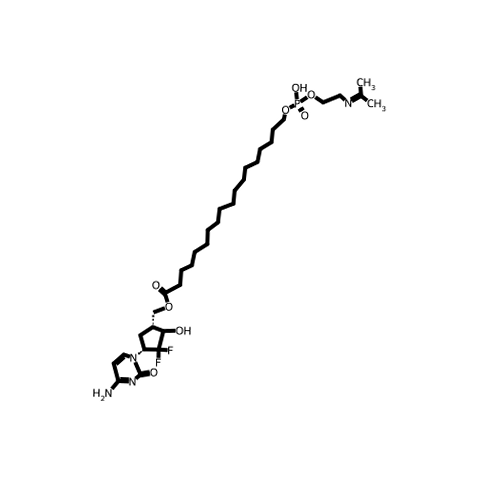 CC(C)=NCCOP(=O)(O)OCCCCCCCCCCCCCCCCCC(=O)OC[C@H]1C[C@@H](n2ccc(N)nc2=O)C(F)(F)C1O